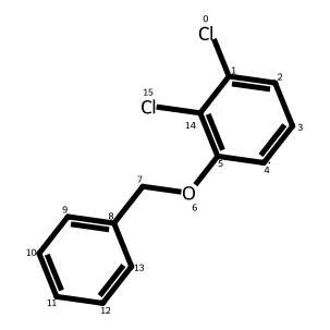 Clc1cc[c]c(OCc2ccccc2)c1Cl